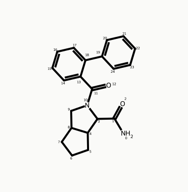 NC(=O)C1C2CCCC2CN1C(=O)c1ccccc1-c1ccccc1